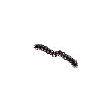 CC(COCC(C)OCCOCCOCCOCCOCc1ccc(C(C)(C)C)cc1)OCCOCCOCCOCCOCc1ccc(C(C)(C)C)cc1